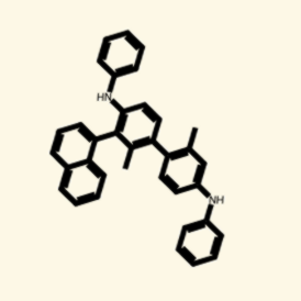 Cc1cc(Nc2ccccc2)ccc1-c1ccc(Nc2ccccc2)c(-c2cccc3ccccc23)c1C